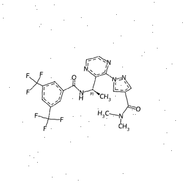 C[C@@H](NC(=O)c1cc(C(F)(F)F)cc(C(F)(F)F)c1)c1nccnc1-n1cc(C(=O)N(C)C)cn1